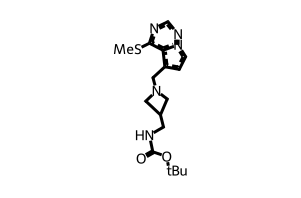 CSc1ncnn2ccc(CN3CC(CNC(=O)OC(C)(C)C)C3)c12